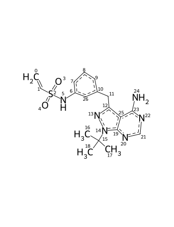 C=CS(=O)(=O)Nc1cccc(Cc2nn(C(C)(C)C)c3ncnc(N)c23)c1